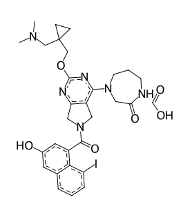 CN(C)CC1(COc2nc3c(c(N4CCCNC(=O)C4)n2)CN(C(=O)c2cc(O)cc4cccc(I)c24)C3)CC1.O=CO